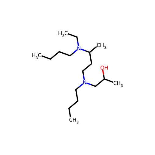 CCCCN(CCC(C)N(CC)CCCC)CC(C)O